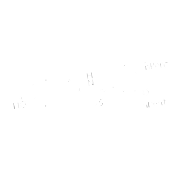 CCCCCOc1cc(C(=S)NCCc2ccc(O)cc2)ccc1CCCCC